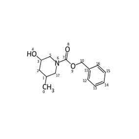 CC1CC(O)CN(C(=O)OCc2ccccc2)C1